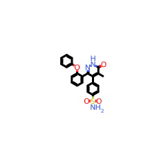 Cc1c(-c2ccc(S(N)(=O)=O)cc2)c(-c2ccccc2Oc2ccccc2)n[nH]c1=O